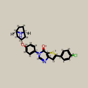 O=c1c2sc(-c3ccc(Cl)cc3)cc2ncn1-c1ccc(O[C@@H]2C[C@H]3CC[C@@H](C2)N3)cc1